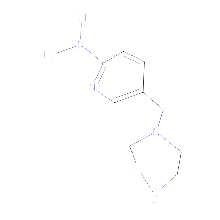 CN(C)c1ccc(CN2CCNCC2)cn1